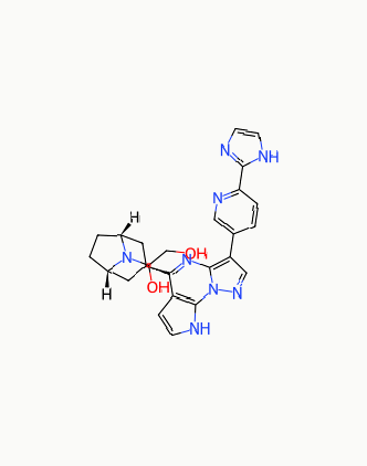 OCC(O)N1[C@@H]2CC[C@H]1C[C@H](c1nc3c(-c4ccc(-c5ncc[nH]5)nc4)cnn3c3[nH]ccc13)C2